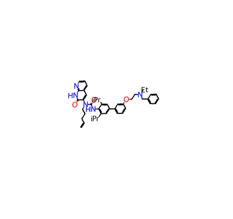 C=CCCCN(C(=O)Nc1c(C(C)C)cc(-c2cccc(OCCN(CC)Cc3ccccc3)c2)cc1C(C)C)c1cc2cccnc2[nH]c1=O